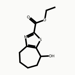 CCOC(=O)c1nc2c(s1)C(O)CCCC2